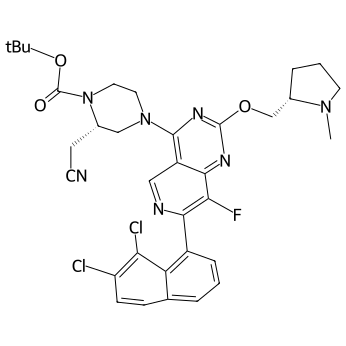 CN1CCC[C@H]1COc1nc(N2CCN(C(=O)OC(C)(C)C)[C@@H](CC#N)C2)c2cnc(-c3cccc4ccc(Cl)c(Cl)c34)c(F)c2n1